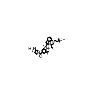 CCC1CN(CCC(C)(C)O)c2cccc3cc(-c4nc5cc(C(=O)N6CC[C@@H](N)C6)cc(F)c5n4C)n1c23